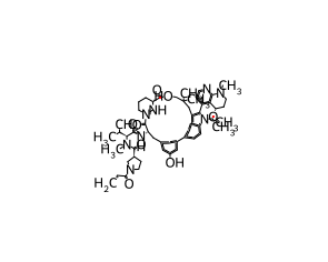 C=CC(=O)N1CC[C@H](C(=O)N(C)[C@H](C(=O)N[C@H]2Cc3cc(O)cc(c3)-c3ccc4c(c3)c(c(-c3ccnc5c3[C@@H](OC)CCN5C)n4CC)CC(C)(C)COC(=O)[C@@H]3CCCN(N3)C2=O)C(C)C)C1